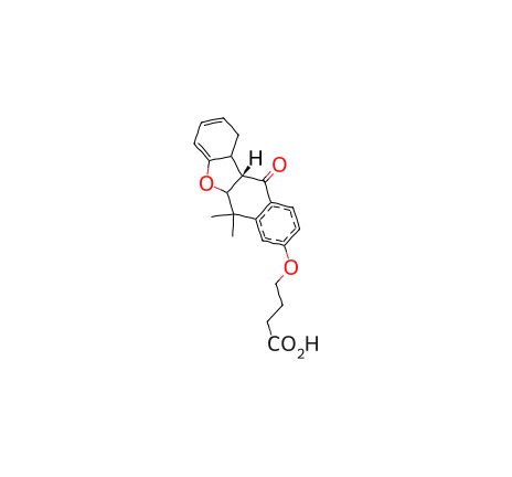 CC1(C)c2cc(OCCCC(=O)O)ccc2C(=O)[C@H]2C3CC=CC=C3OC21